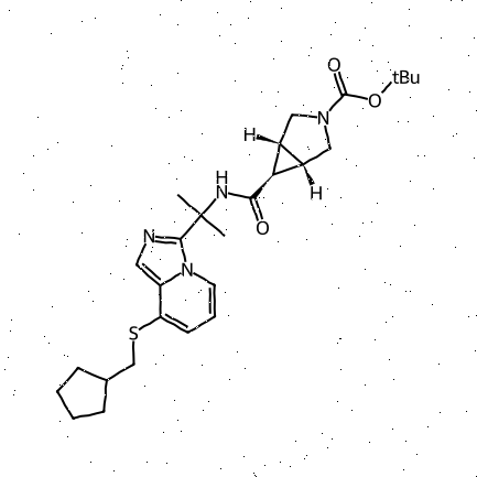 CC(C)(C)OC(=O)N1C[C@@H]2[C@H](C1)[C@H]2C(=O)NC(C)(C)c1ncc2c(SCC3CCCC3)cccn12